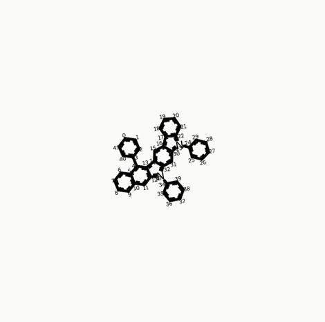 c1ccc(-c2c3ccccc3cc3c2c2cc4c5ccccc5n(-c5ccccc5)c4cc2n3-c2ccccc2)cc1